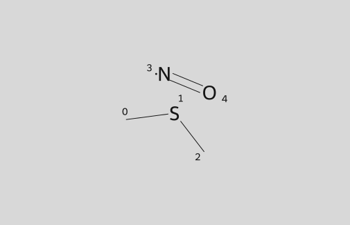 CSC.[N]=O